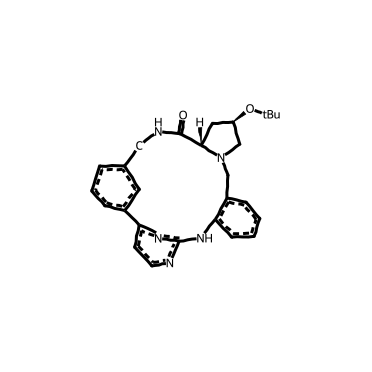 CC(C)(C)O[C@@H]1C[C@H]2C(=O)NCc3cccc(c3)-c3ccnc(n3)Nc3ccccc3CN2C1